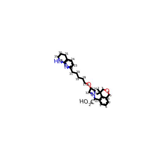 CC1(C)COCc2cccc(C(C(=O)O)N3CC(OCCCCCc4ccc5c(n4)NCCC5)C3)c21